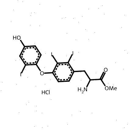 COC(=O)C(N)Cc1ccc(Oc2ccc(O)cc2I)c(I)c1I.Cl